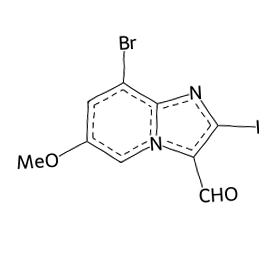 COc1cc(Br)c2nc(I)c(C=O)n2c1